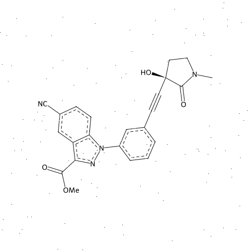 COC(=O)c1nn(-c2cccc(C#C[C@]3(O)CCN(C)C3=O)c2)c2ccc(C#N)cc12